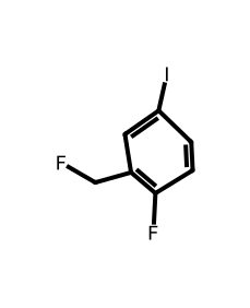 FCc1cc(I)ccc1F